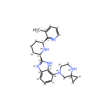 Cc1cccnc1[C@@H]1CCC[C@H](c2nc3cccc(N4CCNC5(CC5)C4)c3[nH]2)N1